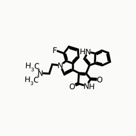 CN(C)CCn1cc(C2=C(c3c[nH]c4ccccc34)C(=O)NC2=O)c2cccc(F)c21